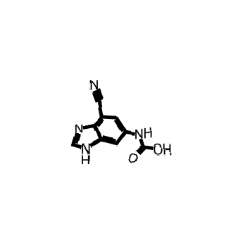 N#Cc1cc(NC(=O)O)cc2[nH]cnc12